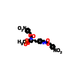 CS(=O)(=O)O[C@@H]1C[C@@H](CCc2ccc(CNC(=O)OCc3ccc([N+](=O)[O-])cc3)cc2)N(C(=O)OCc2ccc([N+](=O)[O-])cc2)C1